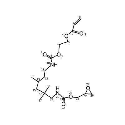 C=CC(=O)OCCOC(=O)NCCC(C)CC(C)(C)CNC(=O)OCC1CO1